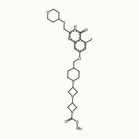 CC(C)(C)OC(=O)N1CC(N2CC(N3CCC(COc4cc(F)c5c(=O)[nH]c(CSC6CCOCC6)nc5c4)CC3)C2)C1